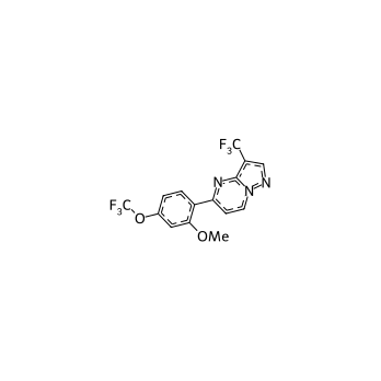 COc1cc(OC(F)(F)F)ccc1-c1ccn2ncc(C(F)(F)F)c2n1